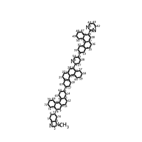 Cn1cnc2ccc(-c3cc4ccc5cc(-c6ccc7c(ccc8cc(-c9ccc(-c%10ccc%11c(ccc%12cc(-c%13ncccn%13)c%13ccccc%13c%12%11)c%10)cn9)c9ccccc9c87)c6)ccc5c4c4ccccc34)cc21